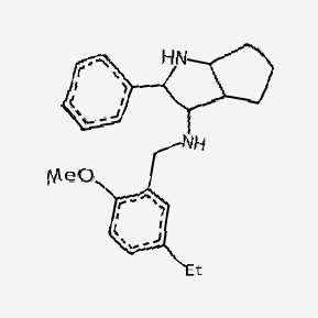 CCc1ccc(OC)c(CNC2C(c3ccccc3)NC3CCCC32)c1